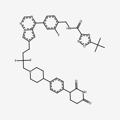 CC(C)(C)c1nc(C(=O)NCc2ccc(-c3ncnn4cc(CCC(F)(F)CN5CCC(c6ccc(C7CCC(=O)NC7=O)cc6)CC5)cc34)cc2F)no1